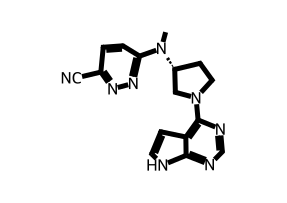 CN(c1ccc(C#N)nn1)[C@@H]1CCN(c2ncnc3[nH]ccc23)C1